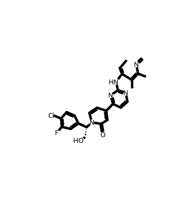 C=N/C(C)=C(C)\C(=C/C)Nc1nccc(-c2ccn([C@H](CO)c3ccc(Cl)c(F)c3)c(=O)c2)n1